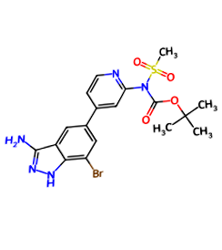 CC(C)(C)OC(=O)N(c1cc(-c2cc(Br)c3[nH]nc(N)c3c2)ccn1)S(C)(=O)=O